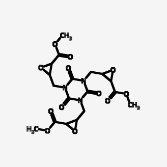 COC(=O)C1OC1Cn1c(=O)n(CC2OC2C(=O)OC)c(=O)n(CC2OC2C(=O)OC)c1=O